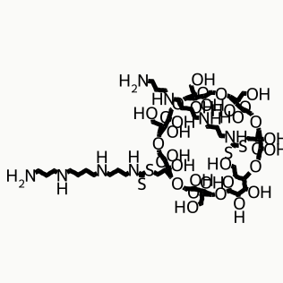 NCCCNCCCCNCCCNC(=S)SCC1OC2OC3C(CO)OC(OC4C(CO)OC(OC5C(CSC(=S)NCCCNCCCCNCCCN)OC(OC6C(CO)OC(OC7C(CO)OC(OC8C(CO)OC(OC1C(O)C2O)C(O)C8O)C(O)C7O)C(O)C6O)C(O)C5O)C(O)C4O)C(O)C3O